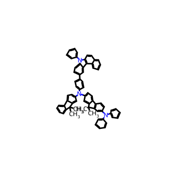 CC1(C)c2ccccc2-c2ccc(N(c3ccc(-c4ccc5c(c4)c4c6ccccc6ccc4n5-c4ccccc4)cc3)c3ccc4c(c3)C(C)(C)c3cc(N(c5ccccc5)c5ccccc5)ccc3-4)cc21